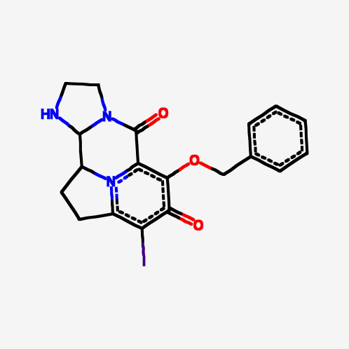 O=C1c2c(OCc3ccccc3)c(=O)c(I)c3n2C(CC3)C2NCCN12